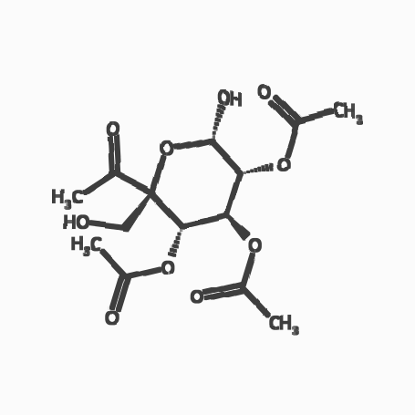 CC(=O)O[C@@H]1[C@@H](OC(C)=O)[C@H](OC(C)=O)[C@](CO)(C(C)=O)O[C@@H]1O